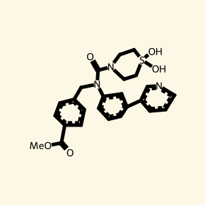 COC(=O)c1ccc(CN(C(=O)N2CCS(O)(O)CC2)c2cccc(-c3cccnc3)c2)cc1